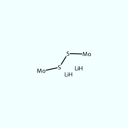 [LiH].[LiH].[Mo][S][S][Mo]